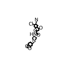 N#Cc1cc2c(=O)cc(C(=O)NC3CCN(Cc4ccc5c(c4)OCO5)CC3)oc2cc1Cl